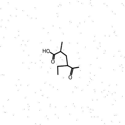 CCC(CC(C)C(=O)O)C(C)=O